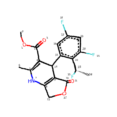 COC(=O)C1=C(C)NC2=C(C(=O)OC2)C1c1cc(F)cc(F)c1[C@H](C)F